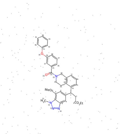 CCOC(=O)CC(c1cc(OC)c2c(c1)nnn2C)c1cccc2c1CCN(C(=O)c1cccc(Oc3ccccc3)c1)C2